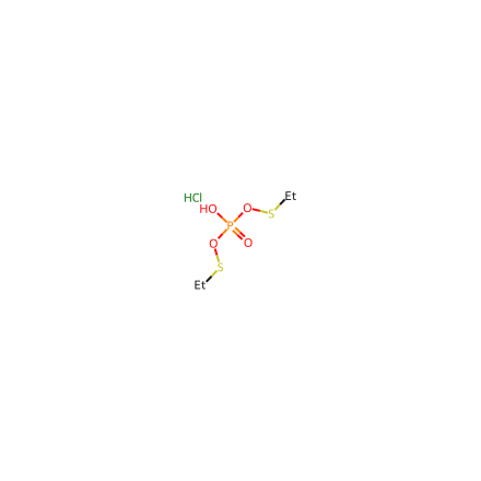 CCSOP(=O)(O)OSCC.Cl